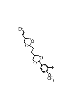 CC/C=C/C1COC(CCC2COC(c3ccc(OC(F)(F)F)c(F)c3)OC2)OC1